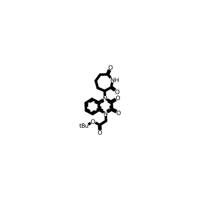 CC(C)(C)OC(=O)Cn1c(=O)c(=O)n(C2CCCC(=O)NC2=O)c2ccccc21